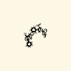 CCOC(=O)N1C[C@H](CC)[C@H](c2cccc(OCc3nc(-c4ccccc4)oc3C)c2)C1